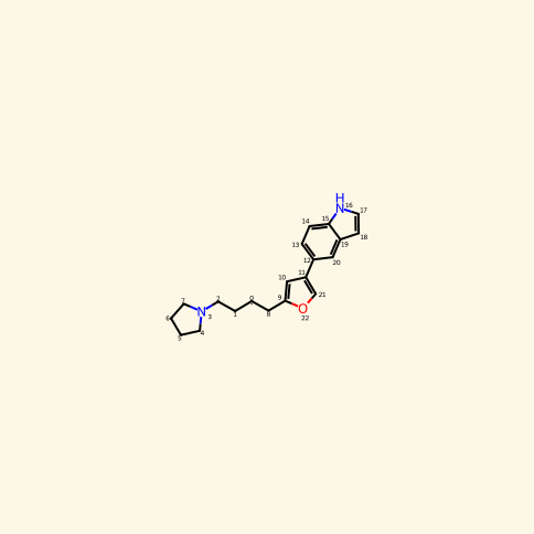 [CH](CCN1CCCC1)Cc1cc(-c2ccc3[nH]ccc3c2)co1